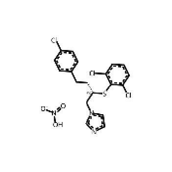 Clc1ccc(CC[C@@H](Cn2ccnc2)Sc2c(Cl)cccc2Cl)cc1.O=[N+]([O-])O